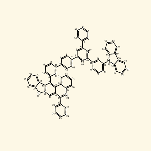 c1ccc(-c2cc(-c3ccc(-c4cccc(-c5c6c(cc7c(-c8ccccc8)nc8ccccc8c57)oc5ccccc56)c4)cc3)nc(-c3cccc(-n4c5ccccc5c5ccccc54)c3)n2)cc1